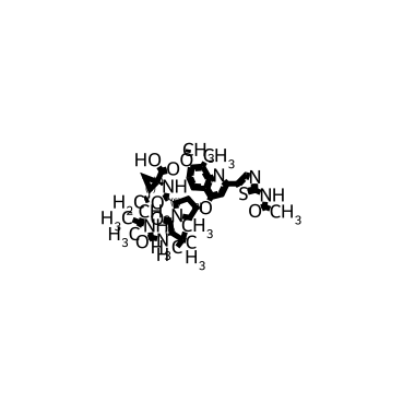 C=C[C@@H]1C[C@]1(NC(=O)[C@@H]1C[C@@H](Oc2cc(-c3cnc(NC(C)=O)s3)nc3c(C)c(OC)ccc23)CN1C(=O)[C@@H](NC(=O)NC(C)(C)C)C(C)(C)C)C(=O)O